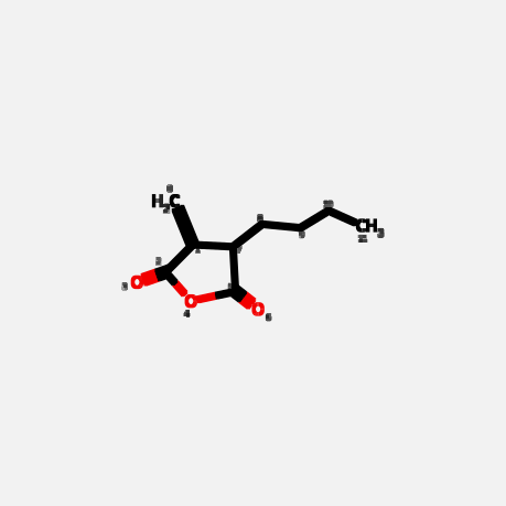 C=C1C(=O)OC(=O)C1CCCC